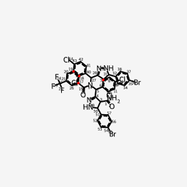 NC(=O)C1C(C(c2ccc(Cl)cc2Cl)N(C(=O)c2cccc(C(F)(F)F)c2)C(C2=NNC(c3ccc(Br)cc3)C2)c2ccc(Cl)cc2Cl)=NNC1c1ccc(Br)cc1